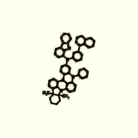 CC12CCCCC1(C)N1c3cccc4c3B(c3ccc(N(c5cccc(-c6cccc7ccccc67)c5)c5cccc6c5oc5ccccc56)cc3N4c3ccccc3)c3cccc2c31